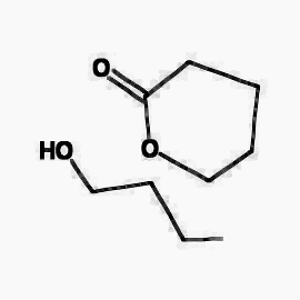 CCCCO.O=C1CCCCO1